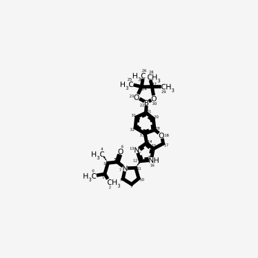 CC(C)[C@H](C)C(=O)N1CCC[C@H]1c1nc2c([nH]1)COc1cc(B3OC(C)(C)C(C)(C)O3)ccc1-2